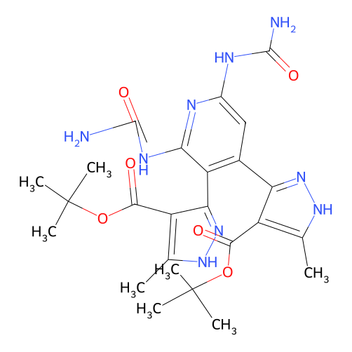 Cc1[nH]nc(-c2cc(NC(N)=O)nc(NC(N)=O)c2-c2n[nH]c(C)c2C(=O)OC(C)(C)C)c1C(=O)OC(C)(C)C